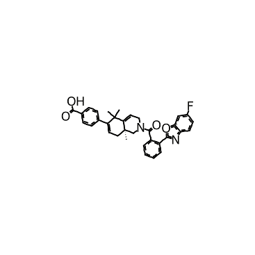 CC1(C)C(c2ccc(C(=O)O)cc2)=CC[C@]2(C)CN(C(=O)c3ccccc3-c3nc4ccc(F)cc4o3)CC=C12